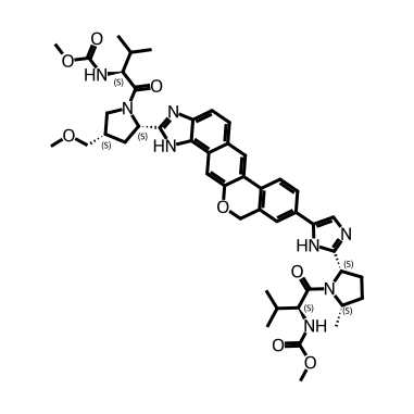 COC[C@H]1C[C@@H](c2nc3ccc4cc5c(cc4c3[nH]2)OCc2cc(-c3cnc([C@@H]4CC[C@H](C)N4C(=O)[C@@H](NC(=O)OC)C(C)C)[nH]3)ccc2-5)N(C(=O)[C@@H](NC(=O)OC)C(C)C)C1